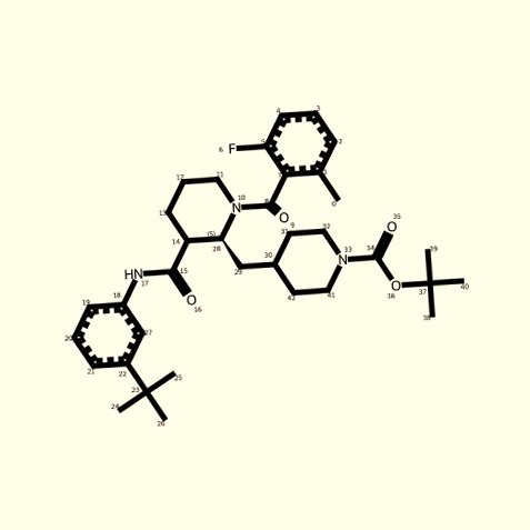 Cc1cccc(F)c1C(=O)N1CCCC(C(=O)Nc2cccc(C(C)(C)C)c2)[C@@H]1CC1CCN(C(=O)OC(C)(C)C)CC1